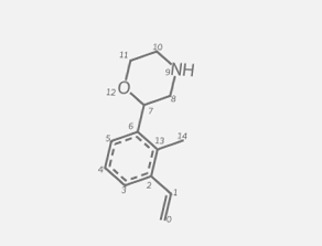 C=Cc1cccc(C2CNCCO2)c1C